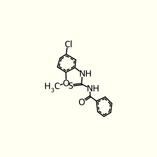 COc1ccc(Cl)cc1NC(=S)NC(=O)c1ccccc1